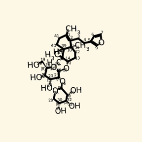 CC1=C(CCc2ccoc2)[C@@]2(C)CC[C@H](O[C@@H]3O[C@H](CO)[C@@H](O)[C@H](O)[C@H]3O[C@@H]3OC[C@@H](O)[C@H](O)[C@H]3O)C(C)(C)[C@@H]2CC1